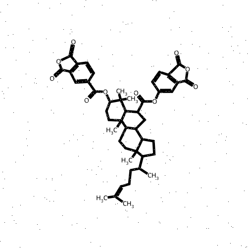 CC(C)=CCCC(C)C1CCC2C3CC(C(=O)Oc4ccc5c(c4)C(=O)OC5=O)C4C(C)(C)C(OC(=O)c5ccc6c(c5)C(=O)OC6=O)CCC4(C)C3CCC12C